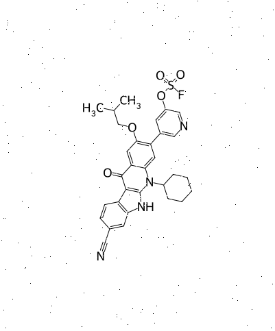 CC(C)COc1cc2c(=O)c3c4ccc(C#N)cc4[nH]c3n(C3CCCCC3)c2cc1-c1cncc(OS(=O)(=O)F)c1